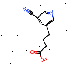 N#Cc1cncc(CCCC(=O)O)c1